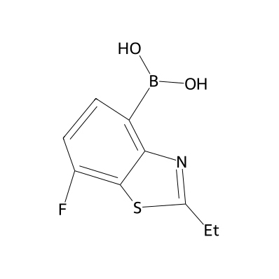 CCc1nc2c(B(O)O)ccc(F)c2s1